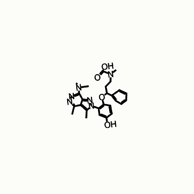 Cc1nnc(N(C)C)c2nn(-c3cc(O)ccc3OC(CCN(C)C(=O)O)c3ccccc3)c(C)c12